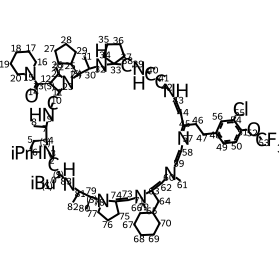 CC[C@H](C)[C@H]1CN[C@@H](CC(C)C)C(C)NCC2[C@@H](C(=O)N3CCCCC3)C(C)N2[C@@H](C2CCCC2)C(C)NC2(CCCC2)CNCCNC=CC(CCc2ccc(OC(F)(F)F)c(Cl)c2)=NC=CN(C)C=C(CC2CCCCC2)N(C)C=C2CCCN2[C@@H](C)C(C)N1